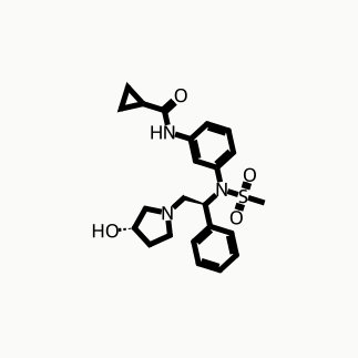 CS(=O)(=O)N(c1cccc(NC(=O)C2CC2)c1)[C@H](CN1CC[C@H](O)C1)c1ccccc1